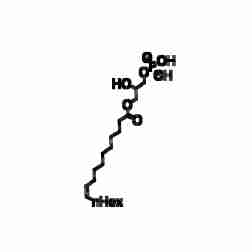 CCCCCC/C=C\CCCCCCCCC(=O)OCC(O)COP(=O)(O)O